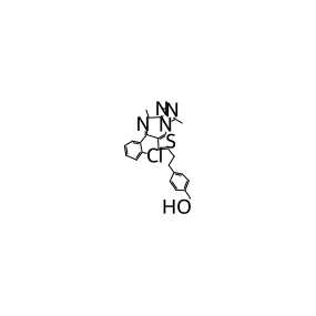 Cc1nnc2n1-c1sc(CCc3ccc(CO)cc3)cc1C(c1ccccc1Cl)=NC2C